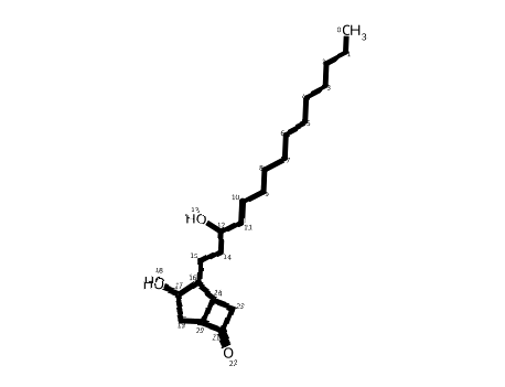 CCCCCCCCCCCCC(O)CCC1C(O)CC2C(=O)CC21